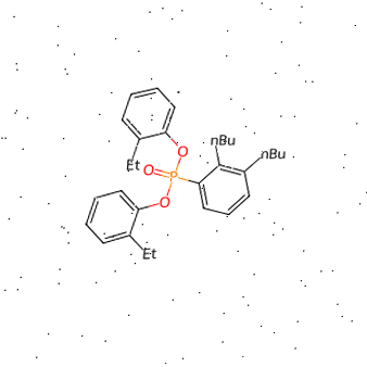 CCCCc1cccc(P(=O)(Oc2ccccc2CC)Oc2ccccc2CC)c1CCCC